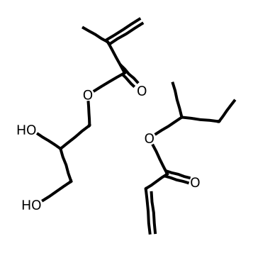 C=C(C)C(=O)OCC(O)CO.C=CC(=O)OC(C)CC